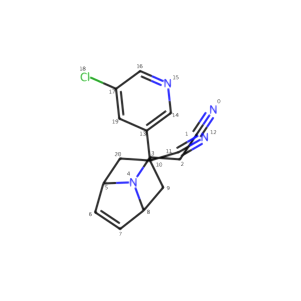 N#CCCN1C2C=CC1CC(C#N)(c1cncc(Cl)c1)C2